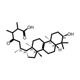 CC(C(=O)O)C(C)C(=O)C[C@@H](C)[C@H]1CC[C@@]2(C)C3=C(CC[C@]12C)[C@@]1(C)CC[C@@H](O)C(C)(C)[C@@H]1CC3